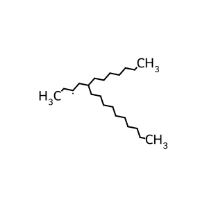 CC[CH]CC(CCCCCCC)CCCCCCCCCC